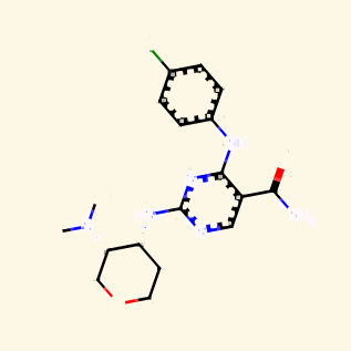 CN(C)[C@H]1COCC[C@H]1Nc1ncc(C(N)=O)c(Nc2ccc(Cl)cc2)n1